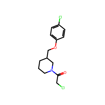 O=C(CCl)N1CCCC(COc2ccc(Cl)cc2)C1